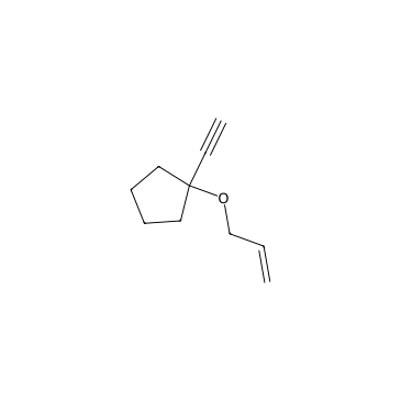 C#CC1(OCC=C)CCCC1